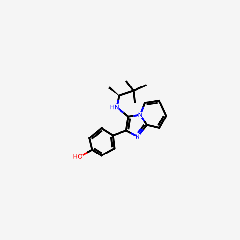 C[C@H](Nc1c(-c2ccc(O)cc2)nc2ccccn12)C(C)(C)C